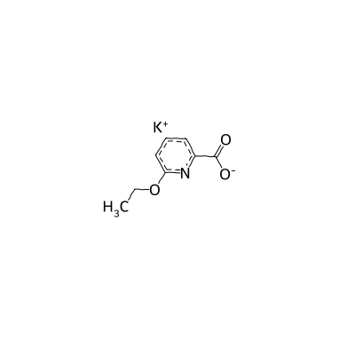 CCOc1cccc(C(=O)[O-])n1.[K+]